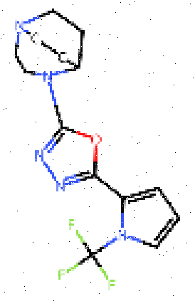 FC(F)(F)n1cccc1-c1nnc(N2CCN3CCC2CC3)o1